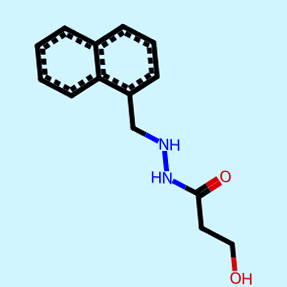 O=C(CCO)NNCc1cccc2ccccc12